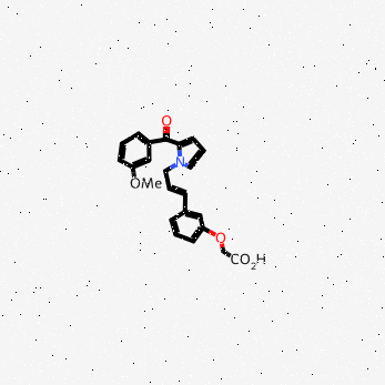 COc1cccc(C(=O)c2cccn2C/C=C/c2cccc(OCC(=O)O)c2)c1